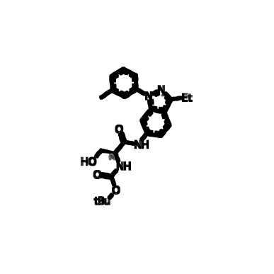 CCc1nn(-c2cccc(C)c2)c2cc(NC(=O)[C@H](CO)NC(=O)OC(C)(C)C)ccc12